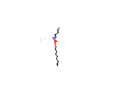 CCCCCCCCCOC(=O)C(C)(N)CCCCC(C)O